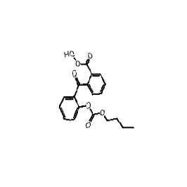 CCCCOC(=O)Oc1ccccc1C(=O)c1ccccc1C(=O)OO